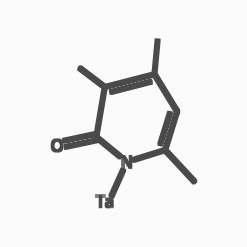 Cc1cc(C)[n]([Ta])c(=O)c1C